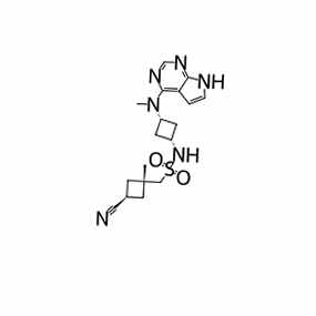 CN(c1ncnc2[nH]ccc12)[C@H]1C[C@@H](NS(=O)(=O)C[C@]2(C)C[C@@H](C#N)C2)C1